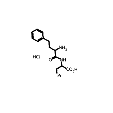 CC(C)CC(NC(=O)C(N)CCc1ccccc1)C(=O)O.Cl